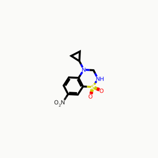 O=[N+]([O-])c1ccc2c(c1)S(=O)(=O)NCN2C1CC1